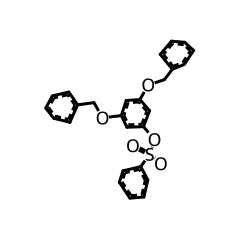 O=S(=O)(Oc1cc(OCc2ccccc2)cc(OCc2ccccc2)c1)c1ccccc1